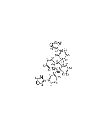 c1cc(-c2cocn2)cc(-c2c3ccccc3c(-c3cccc(-c4cocn4)c3)c3ccccc23)c1